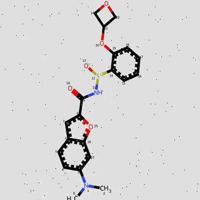 CN(C)c1ccc2cc(C(=O)N[S+]([O-])c3ccccc3OC3COC3)oc2c1